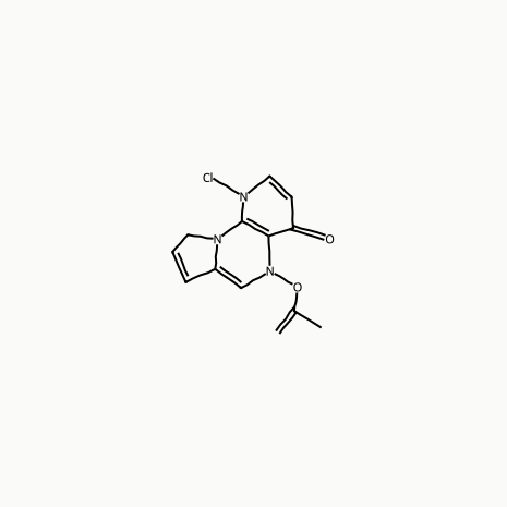 C=C(C)ON1C=C2C=CCN2c2c1c(=O)ccn2Cl